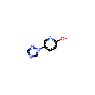 Oc1ccc(-n2cncn2)cn1